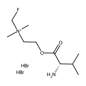 Br.Br.CC(C)[C@H](N)C(=O)OCC[N+](C)(C)CF